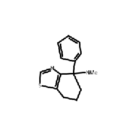 CNC1(c2ccccc2)CCCc2scnc21